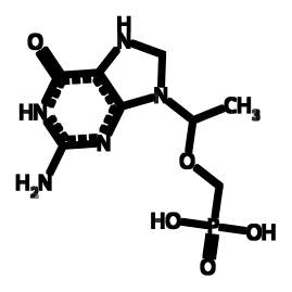 CC(OCP(=O)(O)O)N1CNc2c1nc(N)[nH]c2=O